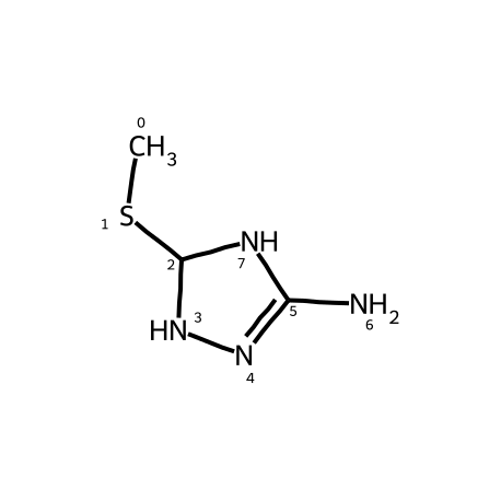 CSC1NN=C(N)N1